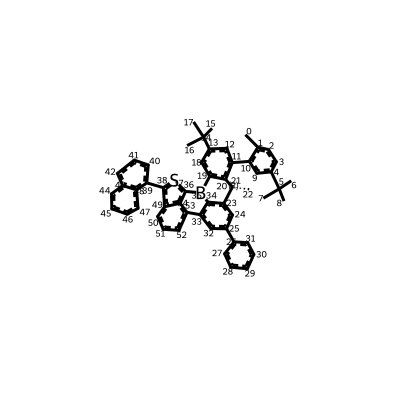 Cc1ccc(C(C)(C)C)cc1-c1cc(C(C)(C)C)cc2c1[C@H](C)c1cc(-c3ccccc3)cc3c1B2c1sc(-c2cccc4ccccc24)c2cccc-3c12